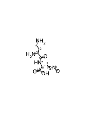 NCC[C@H](N)C(=O)N[C@H](CSN=O)C(=O)O